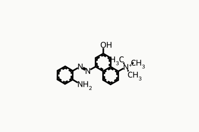 C[N+](C)(C)c1cccc2c(/N=N/c3ccccc3N)cc(O)cc12